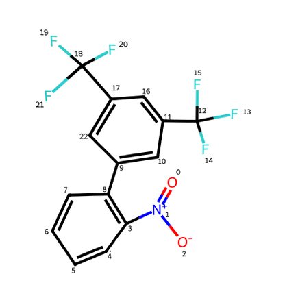 O=[N+]([O-])c1[c]cccc1-c1cc(C(F)(F)F)cc(C(F)(F)F)c1